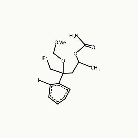 COCOC(CC(C)C)(CC(C)OC(N)=O)c1ccccc1I